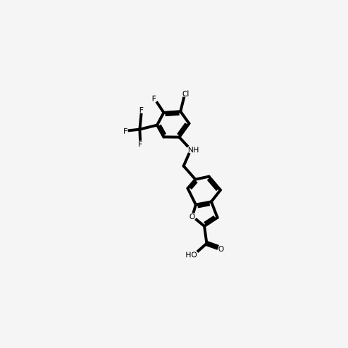 O=C(O)c1cc2ccc(CNc3cc(Cl)c(F)c(C(F)(F)F)c3)cc2o1